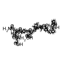 Cc1c(-c2ccc(N3CCc4cccc(C(=O)Nc5nc6ccccc6s5)c4C3)nc2C(=O)O)cnn1CC12CC3(C)CC(C)(C1)CC(OCCN(CCS(=O)(=O)O)C(=O)OCc1ccc(NC(=O)C(CCCNC(N)=O)NC(=O)C(NC(=O)C(N)CCC(=O)O)C(C)C)cc1)(C3)C2